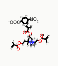 C=C(C)C(=O)OCCC(C)(C)[N+](CCOC(=O)C(=C)C)(CCOC(=O)C(=C)C)C(C)C.O=C([O-])c1ccc([N+](=O)[O-])cc1